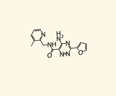 Cc1cccnc1CNC(=O)c1nnc(-c2ccco2)nc1N